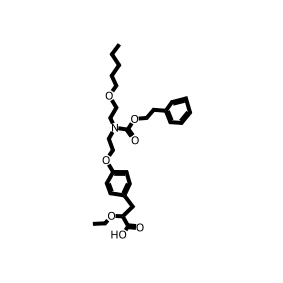 CCCCCOCCN(CCOc1ccc(CC(OCC)C(=O)O)cc1)C(=O)OCCc1ccccc1